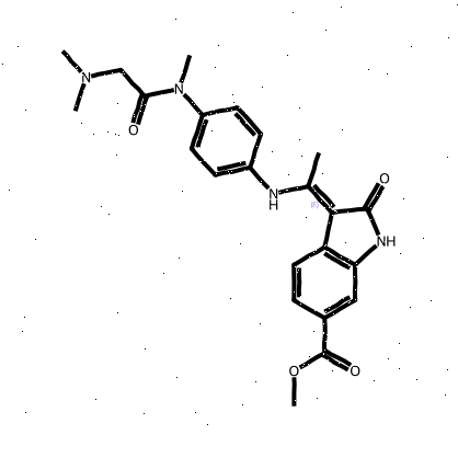 COC(=O)c1ccc2c(c1)NC(=O)/C2=C(\C)Nc1ccc(N(C)C(=O)CN(C)C)cc1